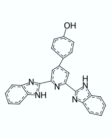 Oc1ccc(-c2cc(-c3nc4ccccc4[nH]3)nc(-c3nc4ccccc4[nH]3)c2)cc1